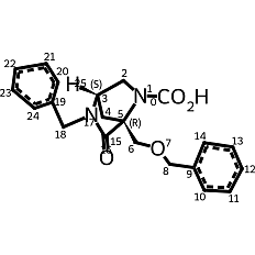 O=C(O)N1C[C@@H]2C[C@@]1(COCc1ccccc1)C(=O)N2Cc1ccccc1